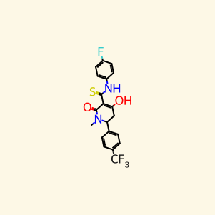 CN1C(=O)C(C(=S)Nc2ccc(F)cc2)=C(O)CC1c1ccc(C(F)(F)F)cc1